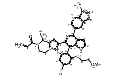 C=CC(=O)N1CCn2nc(-c3nc(-c4cnc5c(cnn5C)c4)c4ccsc4c3-c3c(F)cc(F)cc3OCCOC)cc2C1C